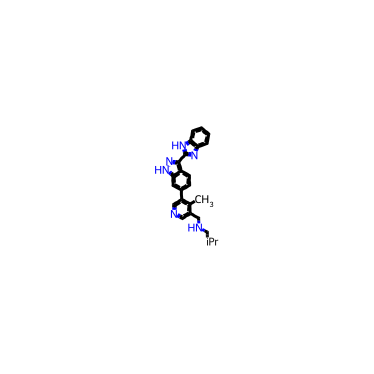 Cc1c(CNCC(C)C)cncc1-c1ccc2c(-c3nc4ccccc4[nH]3)n[nH]c2c1